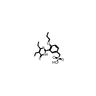 CCCOc1ccc(CS(=O)(=O)O)cc1-c1nc(CC)c(CC)c(=O)[nH]1